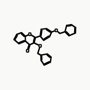 O=c1c(OCc2ccccc2)c(-c2ccc(OCc3ccccc3)cc2)oc2ccccc12